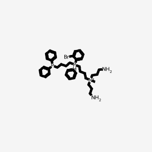 C[N+](CCCN)(CCCN)CCCC[PH](CCCCP(c1ccccc1)c1ccccc1)(c1ccccc1)c1ccccc1Br